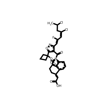 COC1(c2onc(/C=C(F)/C=C(/Cl)CC(C)Cl)c2C(=O)n2cc3c4c(cccc42)/C(=C/C(=O)O)CC3)CCC1